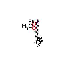 CCOC(C)OC(C=CI)CCCCC1CCC2CCC1C2